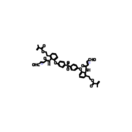 C=C(C)C(=O)OCCc1cccc(Oc2ccc(S(=O)(=O)c3ccc(Oc4cccc(CCOC(=O)C(=C)C)c4NC(=O)/C=C/C=O)cc3)cc2)c1NC(=O)/C=C/C=O